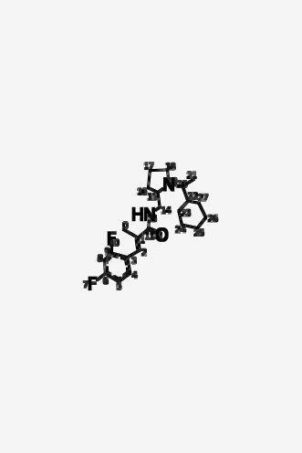 CC(=Cc1ccc(F)cc1F)C(=O)NCC1CCCN1C(C)C1CCCCC1